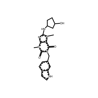 Cn1c(NC2CCC(O)C2)nc2c1c(=O)n(Cc1ccc3cc[nH]c3c1)c(=O)n2C